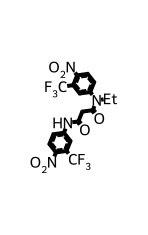 CCN(C(=O)CC(=O)Nc1ccc([N+](=O)[O-])c(C(F)(F)F)c1)c1ccc([N+](=O)[O-])c(C(F)(F)F)c1